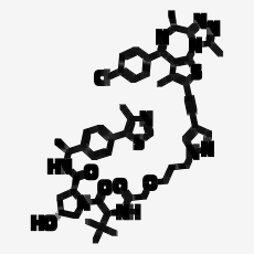 Cc1ncsc1-c1ccc([C@H](C)NC(=O)[C@@H]2C[C@@H](O)CN2C(=O)[C@@H](NC(=O)COCCCn2cc(C#Cc3sc4c(c3C)C(c3ccc(Cl)cc3)=N[C@@H](C)c3nnc(C)n3-4)cn2)C(C)(C)C)cc1